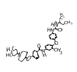 CCC(CC)NC(=O)Nc1ccc(Oc2ccc(NC(=O)c3ccc(OC4CCN(C(CC)CO)CC4)cc3)cc2C)cc1